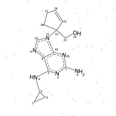 Nc1nc(NC2CC2)c2ncn(C3(CO)C=CCC3)c2n1